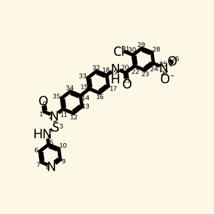 O=CN(SNc1ccncc1)c1ccc(-c2ccc(NC(=O)c3cc([N+](=O)[O-])ccc3Cl)cc2)cc1